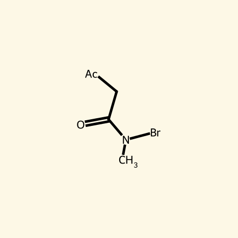 CC(=O)CC(=O)N(C)Br